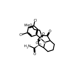 COCCN1C[C@H](C(N)=O)C2CCCC(C1=O)N2S(=O)(=O)c1cc(Cl)cc(Cl)c1